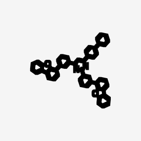 c1ccc(-c2ccc(-c3cc(-c4cccc(-c5cccc6c5oc5ccccc56)c4)nc(-c4cccc(-c5cccc6c5oc5ccccc56)c4)n3)cc2)cc1